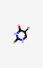 [2H]c1c[nH]c(=S)[nH]c1=O